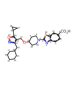 O=C(O)c1ccc2nc(N3CCC(OCc4c(CC5CCCCC5)noc4C4CC4)CC3)sc2c1